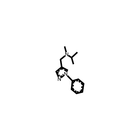 CC(C)N(C)Cc1cnn(-c2ccccc2)c1